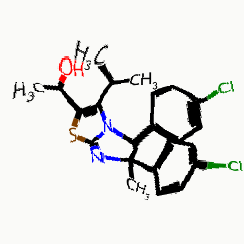 CC(C)C1=C(C(C)O)SC2=NC(C)(c3ccc(Cl)cc3)C(c3ccc(Cl)cc3)N21